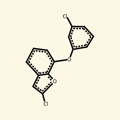 Clc1[c]ccc(Oc2cccc3cc(Cl)oc23)c1